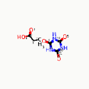 CCC(=O)O.O=c1[nH]c(=O)[nH]c(=O)[nH]1